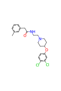 Cc1cccc(CC(=O)NCCN2CCC(Oc3ccc(Cl)c(Cl)c3)CC2)c1